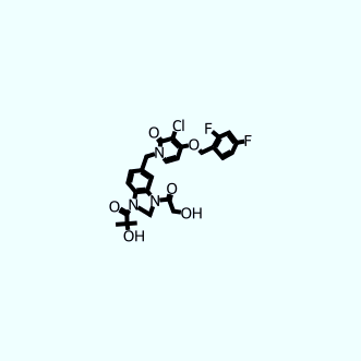 CC(C)(O)C(=O)N1CN(C(=O)CO)c2cc(Cn3ccc(OCc4ccc(F)cc4F)c(Cl)c3=O)ccc21